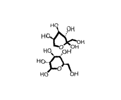 OCC1(O)OC[C@@H](O)[C@@H](O)[C@@H]1O.OC[C@H]1OC(O)[C@H](O)[C@@H](O)[C@@H]1O